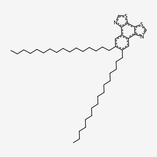 CCCCCCCCCCCCCCCCc1cc2c(cc1CCCCCCCCCCCCCCCC)c1ncsc1c1scnc21